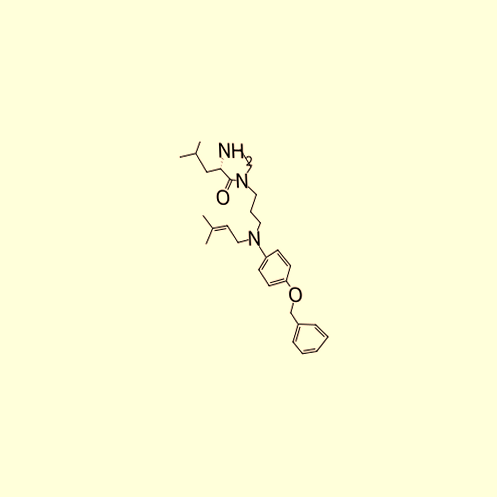 CCN(CCCN(CC=C(C)C)c1ccc(OCc2ccccc2)cc1)C(=O)[C@@H](N)CC(C)C